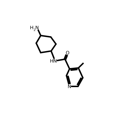 Cc1ccncc1C(=O)NC1CCC(N)CC1